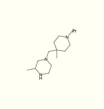 CC1CN(CC2(C)CCN(C(C)C)CC2)CCN1